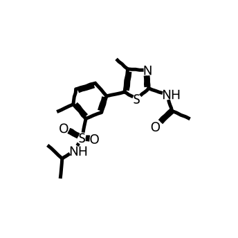 CC(=O)Nc1nc(C)c(-c2ccc(C)c(S(=O)(=O)NC(C)C)c2)s1